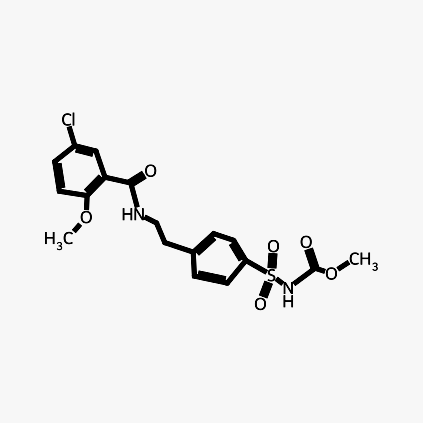 COC(=O)NS(=O)(=O)c1ccc(CCNC(=O)c2cc(Cl)ccc2OC)cc1